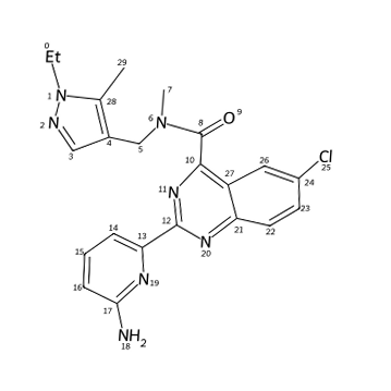 CCn1ncc(CN(C)C(=O)c2nc(-c3cccc(N)n3)nc3ccc(Cl)cc23)c1C